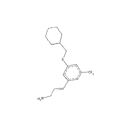 NC/C=C/c1cc(SCC2CCCCC2)cc(C(F)(F)F)c1